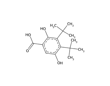 CC(C)(C)c1c(O)cc(C(=O)O)c(O)c1C(C)(C)C